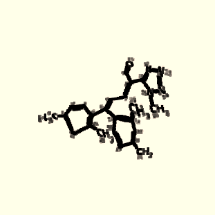 Cc1ccc(C(=CC=C(C=O)c2nnnn2C)c2ccc(C)cc2C)c(C)c1